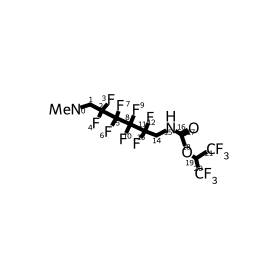 CNCC(F)(F)C(F)(F)C(F)(F)C(F)(F)CNC(=O)OC(C(F)(F)F)C(F)(F)F